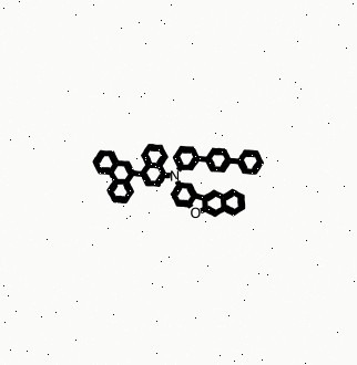 c1ccc(-c2ccc(-c3cccc(N(c4ccc5oc6cc7ccccc7cc6c5c4)c4ccc(-c5cc6ccccc6c6ccccc56)c5ccccc45)c3)cc2)cc1